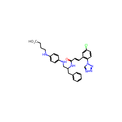 O=C(O)CCCNc1ccc(NCC(Cc2ccccc2)NC(=O)/C=C/c2cc(Cl)ccc2-n2cnnn2)cc1